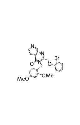 COc1ccc(Cn2c(COc3ccccc3Br)nc3cnccc3c2=O)c(OC)c1